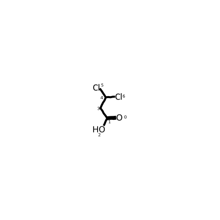 O=C(O)CC(Cl)Cl